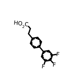 O=C(O)CCc1ccc(-c2cc(F)c(F)c(F)c2)cc1